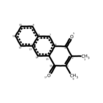 CC1=C(C)C(=O)c2cc3ccccc3cc2C1=O